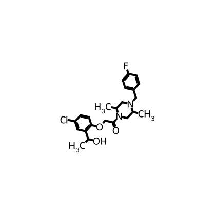 CC(O)c1cc(Cl)ccc1OCC(=O)N1CC(C)N(Cc2ccc(F)cc2)CC1C